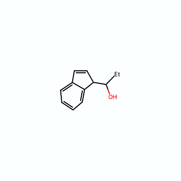 CCC(O)C1C=Cc2ccccc21